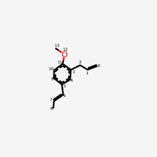 C=CCc1cc(C=CC)ccc1OC